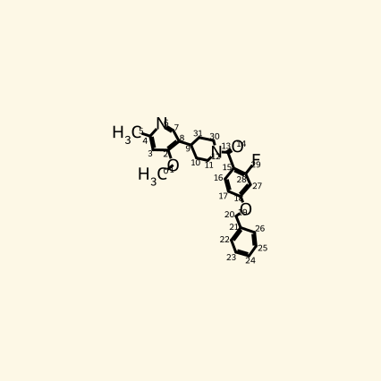 COc1cc(C)ncc1C1CCN(C(=O)c2ccc(OCc3ccccc3)cc2F)CC1